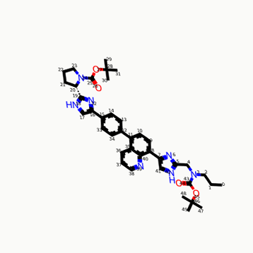 CCCN(Cc1nc(-c2ccc(-c3ccc(-c4c[nH]c([C@@H]5CCCN5C(=O)OC(C)(C)C)n4)cc3)c3cccnc23)c[nH]1)C(=O)OC(C)(C)C